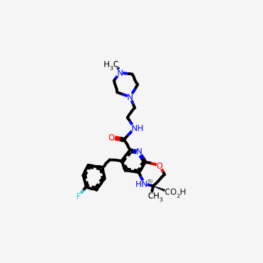 CN1CCN(CCNC(=O)c2nc3c(cc2Cc2ccc(F)cc2)N[C@](C)(C(=O)O)CO3)CC1